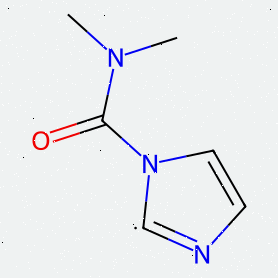 CN(C)C(=O)n1[c]ncc1